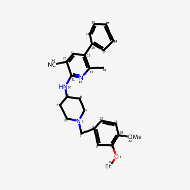 CCOc1cc(CN2CCC(Nc3nc(C)c(-c4ccccc4)cc3C#N)CC2)ccc1OC